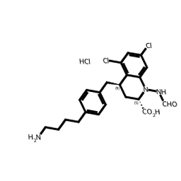 Cl.NCCCCc1ccc(C[C@@H]2C[C@@H](C(=O)O)N(NC=O)c3cc(Cl)cc(Cl)c32)cc1